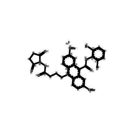 COc1ccc2c(c1)c(C(=O)Oc1c(Br)cccc1Br)c1cc(OC)ccc1[n+]2CCCC(=O)ON1C(=O)CCC1=O.[I-]